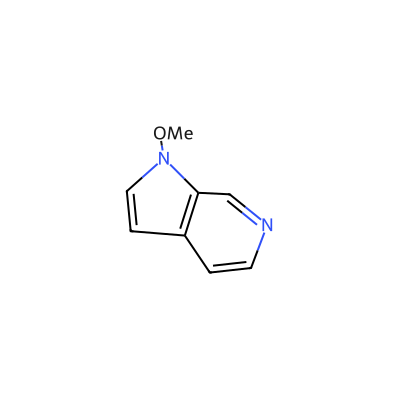 COn1ccc2ccncc21